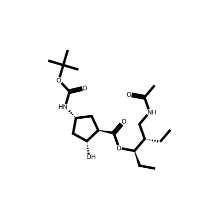 CC[C@@H](CNC(C)=O)[C@@H](CC)OC(=O)[C@@H]1C[C@@H](NC(=O)OC(C)(C)C)C[C@H]1O